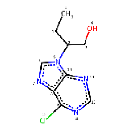 CCC(CO)n1cnc2c(Cl)ncnc21